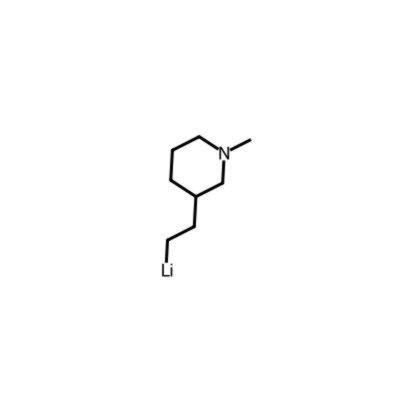 [Li][CH2]CC1CCCN(C)C1